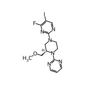 COC[C@H]1CN(c2ncc(I)c(F)n2)CCN1c1ncccn1